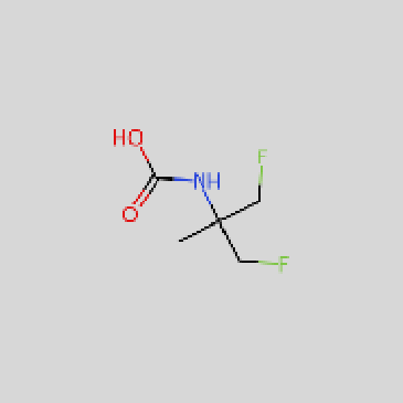 CC(CF)(CF)NC(=O)O